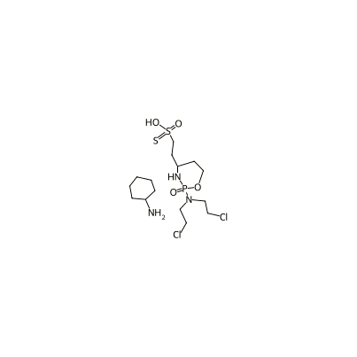 NC1CCCCC1.O=P1(N(CCCl)CCCl)NC(CCS(=O)(O)=S)CCO1